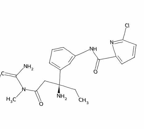 C=C(N)N(C)C(=O)C[C@@](N)(CC)c1cccc(NC(=O)c2cccc(Cl)n2)c1